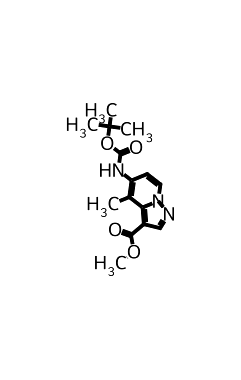 COC(=O)c1cnn2ccc(NC(=O)OC(C)(C)C)c(C)c12